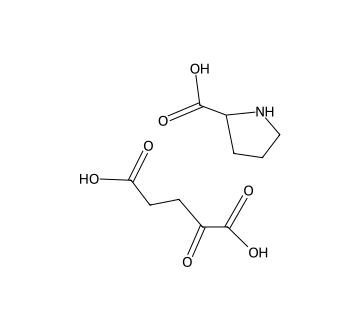 O=C(O)C1CCCN1.O=C(O)CCC(=O)C(=O)O